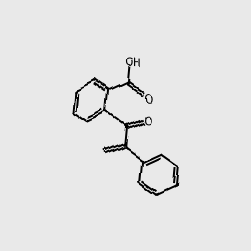 C=C(C(=O)c1ccccc1C(=O)O)c1ccccc1